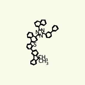 CC1(C)c2ccccc2-c2cc(-c3cccc4c3sc3cc(-c5nc(-c6cccc(-c7ccccc7)c6)nc(-c6cccc7ccccc67)n5)c5ccccc5c34)ccc21